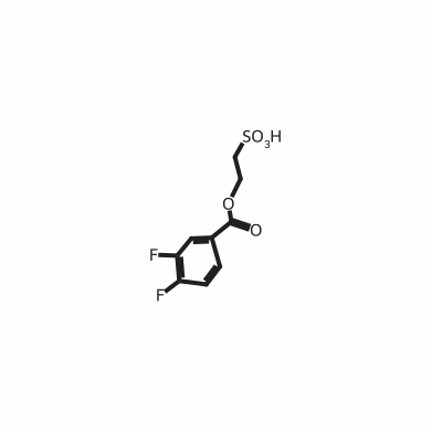 O=C(OCCS(=O)(=O)O)c1ccc(F)c(F)c1